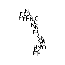 O=C(NCc1cncc(C(F)(F)F)c1)c1cn(CC(F)CCc2nnc(C(=O)NCC(F)(F)F)s2)nn1